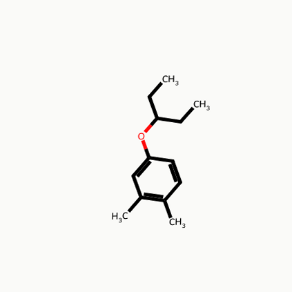 CCC(CC)Oc1ccc(C)c(C)c1